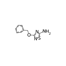 Nc1nc(OCc2ccccc2)ns1